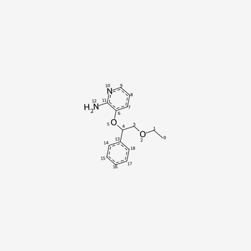 CCOCC(Oc1cccnc1N)c1ccccc1